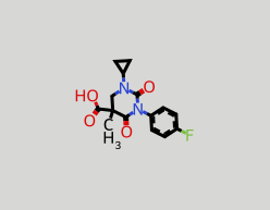 CC1(C(=O)O)CN(C2CC2)C(=O)N(c2ccc(F)cc2)C1=O